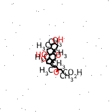 CC(=CC(=O)CC(C)C(=O)O)C1CC(=O)C2(C)C3=C(C(=O)CC12C)C1(C)CCC(O)C(C)(C)C1CC3O